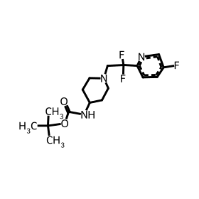 CC(C)(C)OC(=O)NC1CCN(CC(F)(F)c2ccc(F)cn2)CC1